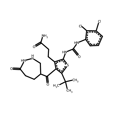 CC(C)(C)c1sc(NC(=O)Nc2cccc(Cl)c2Cl)c(CCC(N)=O)c1C(=O)C1CCC(=O)NNC1